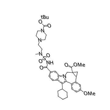 COC(=O)C12CC1c1cc(OC)ccc1-c1c(C3CCCCC3)c3ccc(C(=O)NS(=O)(=O)N(C)CCN4CCN(C(=O)OC(C)(C)C)CC4)cc3n1C2